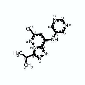 CC(C)c1nnc2c(Nc3cncnc3)cc(Cl)nn12